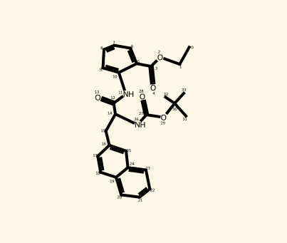 CCOC(=O)c1ccccc1NC(=O)C(Cc1ccc2ccccc2c1)NC(=O)OC(C)(C)C